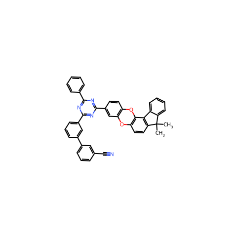 CC1(C)c2ccccc2-c2c1ccc1c2Oc2ccc(-c3nc(-c4ccccc4)nc(-c4cccc(-c5cccc(C#N)c5)c4)n3)cc2O1